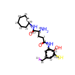 NC(CCC(=O)Nc1cc(CI)cc(S)c1O)C(=O)NC1CCCCCC1